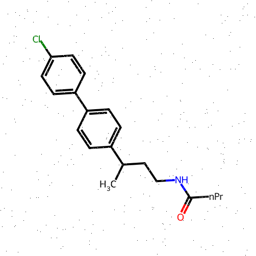 CCCC(=O)NCCC(C)c1ccc(-c2ccc(Cl)cc2)cc1